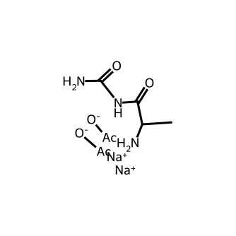 CC(=O)[O-].CC(=O)[O-].CC(N)C(=O)NC(N)=O.[Na+].[Na+]